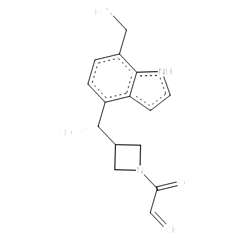 C=CC(=O)N1CC([C@H](C)c2ccc(CN)c3[nH]ccc23)C1